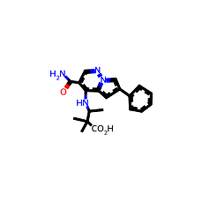 CC(Nc1c(C(N)=O)cnn2cc(-c3ccccc3)cc12)C(C)(C)C(=O)O